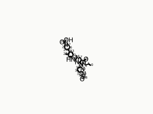 C=CCn1c(=O)c2cnc(Nc3ccc(C4CCN(C(=O)O)CC4)c(C)c3)nc2n1-c1cccc(N=S(C)(C)=O)n1